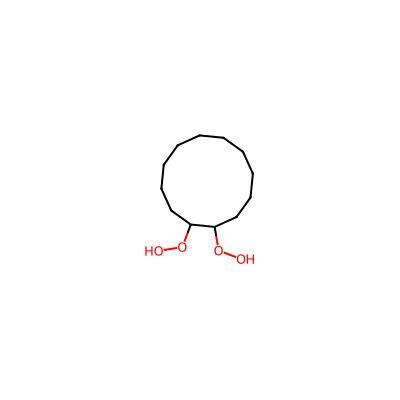 OOC1CCCCCCCCCCC1OO